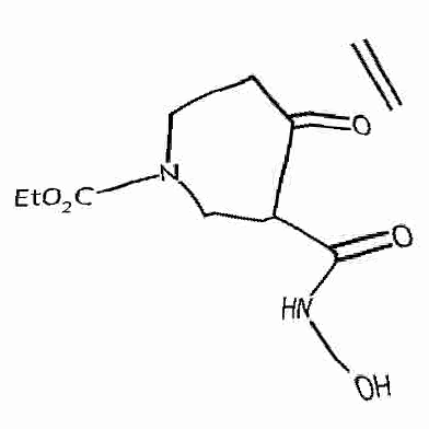 C=C.CCOC(=O)N1CCC(=O)C(C(=O)NO)C1